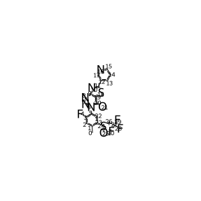 Cc1cc(F)c(-n2nnc3nc(-c4cccnc4)sc3c2=O)cc1[S+]([O-])CC(F)(F)F